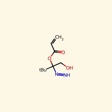 C=CC(=O)OC(CO)(N=N)C(C)(C)C